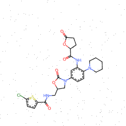 O=C1CCC(C(=O)Nc2cc(N3CC(CNC(=O)c4ccc(Cl)s4)OC3=O)ccc2N2CCCCC2)O1